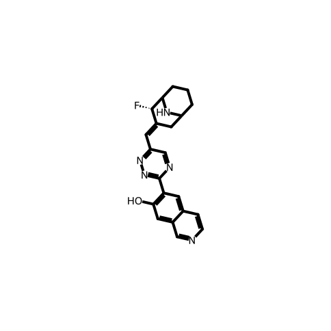 Oc1cc2cnccc2cc1-c1ncc(/C=C2\CC3CCCC(N3)[C@H]2F)nn1